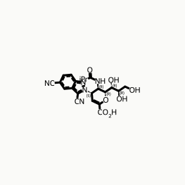 CC(C)C(=O)N[C@H]1[C@H]([C@H](O)[C@H](O)CO)OC(C(=O)O)=C[C@@H]1n1nc2ccc(C#N)cc2c1C#N